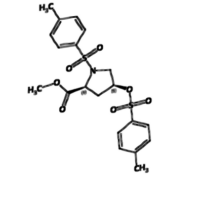 COC(=O)[C@@H]1C[C@H](OS(=O)(=O)c2ccc(C)cc2)CN1S(=O)(=O)c1ccc(C)cc1